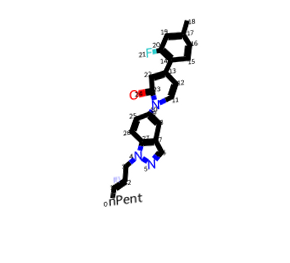 CCCCC/C=C/Cn1ncc2cc(-n3ccc(-c4ccc(C)cc4F)cc3=O)ccc21